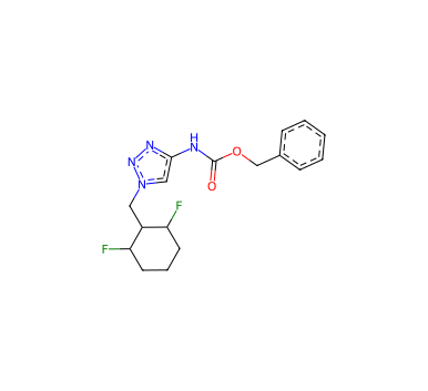 O=C(Nc1cn(CC2C(F)CCCC2F)nn1)OCc1ccccc1